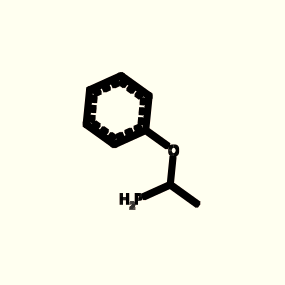 CC(P)Oc1ccccc1